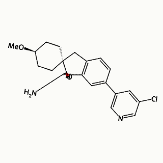 CO[C@H]1CC[C@]2(CC1)Cc1ccc(-c3cncc(Cl)c3)cc1C21COC(N)=N1